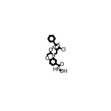 O=C(NO)c1ccc2c(c1)N(Cc1nc(-c3ccccc3)sc1Cl)C(=O)CO2